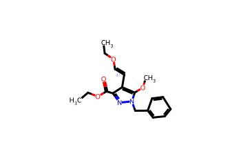 CCO/C=C/c1c(C(=O)OCC)nn(Cc2ccccc2)c1OC